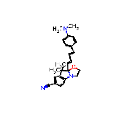 CN(C)c1ccc(/C=C/C=C/C23OCCN2c2ccc(C#N)cc2C3(C)C)cc1